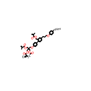 C=C(C)C(=O)OCc1cc(CCCOc2ccc(CCCCCC)cc2)ccc1-c1ccc(OCC(COC(=O)C(=C)C)(COC(=O)C(=C)C)COC(=O)C(=O)OCC)cc1